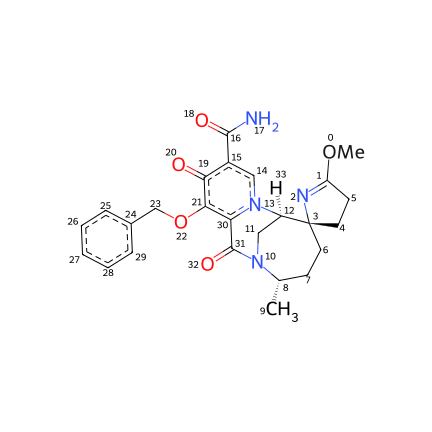 COC1=N[C@]2(CC1)CC[C@H](C)N1C[C@H]2n2cc(C(N)=O)c(=O)c(OCc3ccccc3)c2C1=O